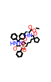 CCOC(=O)[C@H](Cc1ccc(C2(c3ccccc3)NC(=O)[C@@H](Cc3ccccc3)N2C(C)=O)cc1)NC(=O)C1(CCCCS(C)(=O)=O)CCCC1